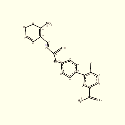 Cc1ccc(C(N)=O)cc1-c1ccc(NC(=O)/C=C/C2=C([N+](=O)[O-])CCC=C2)cc1